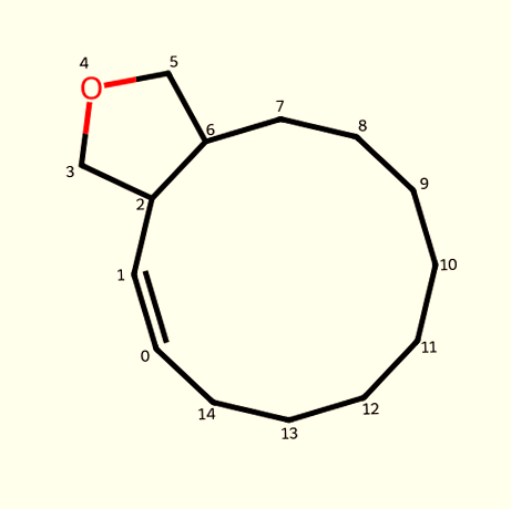 C1=C\C2COCC2CCCCCCCC/1